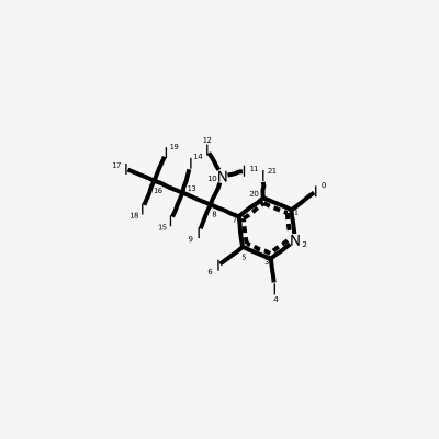 Ic1nc(I)c(I)c(C(I)(N(I)I)C(I)(I)C(I)(I)I)c1I